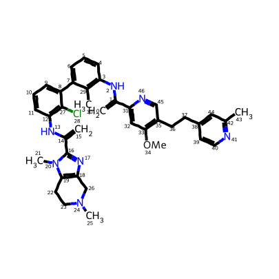 C=C(Nc1cccc(-c2cccc(NC(=C)c3nc4c(n3C)CCN(C)C4)c2Cl)c1C)c1cc(OC)c(CCc2ccnc(C)c2)cn1